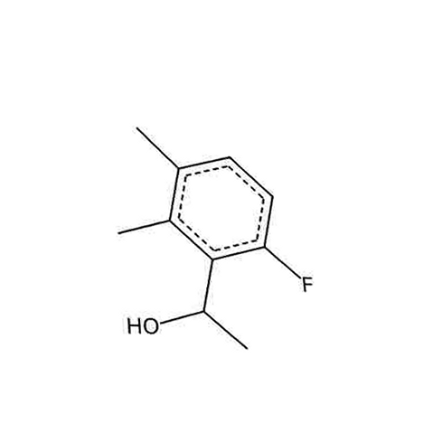 Cc1ccc(F)c(C(C)O)c1C